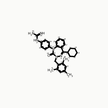 Cc1cc(C)c(CN2N=C(C3CCCCC3)c3ccccc3N(c3ccc(NC(=N)N)cc3)C2=O)c(C)c1